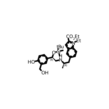 CCOC(=O)c1cc2cc(C[C@@H](C)NC[C@H](O[Si](C)(C)C(C)(C)C)c3ccc(O)c(CO)c3)ccc2n1CC